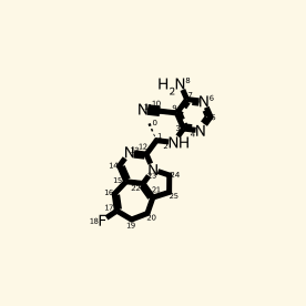 C[C@H](Nc1ncnc(N)c1C#N)C1=NC=C2C=C(F)CCC3=C2N1CC3